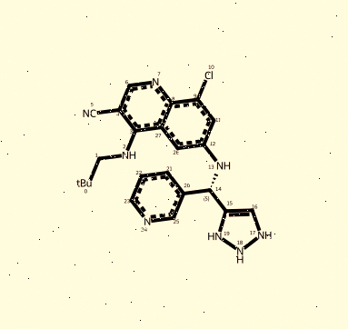 CC(C)(C)CNc1c(C#N)cnc2c(Cl)cc(N[C@H](C3=CNNN3)c3cccnc3)cc12